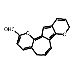 O=CC1=CC=C2CC=CC3=C4OCC=CC4=CC3=C2O1